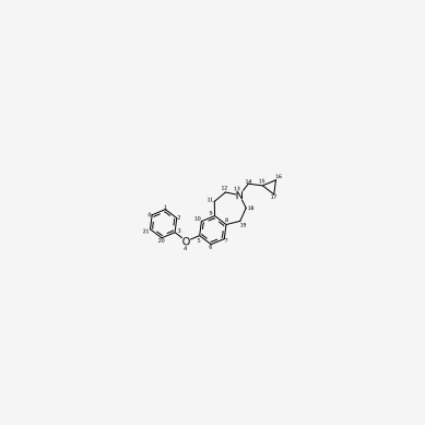 c1ccc(Oc2ccc3c(c2)CCN(CC2CC2)CC3)cc1